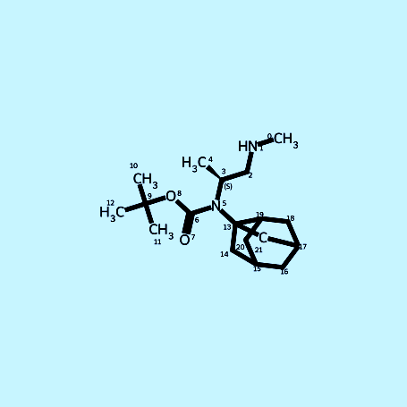 CNC[C@H](C)N(C(=O)OC(C)(C)C)C12CC3CC(CC1C3)C2